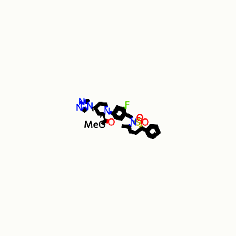 COC(=O)[C@H]1C[C@H](n2cnnc2)CCN1c1ccc(CN2C(C)CCC(c3ccccc3)S2(=O)=O)c(F)c1